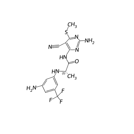 CSc1nc(N)nc(NC(=O)[C@H](C)Nc2cc(N)cc(C(F)(F)F)c2)c1C#N